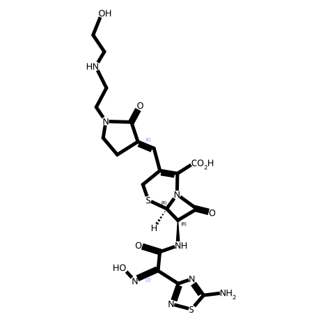 Nc1nc(/C(=N/O)C(=O)N[C@@H]2C(=O)N3C(C(=O)O)=C(/C=C4\CCN(CCNCCO)C4=O)CS[C@H]23)ns1